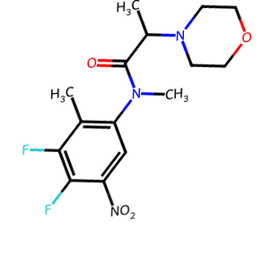 Cc1c(N(C)C(=O)C(C)N2CCOCC2)cc([N+](=O)[O-])c(F)c1F